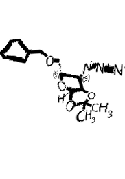 CC1(C)OC2[C@H](O[C@H](COCc3ccccc3)[C@@H]2N=[N+]=[N-])O1